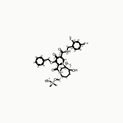 CC(C)(C)[Si](C)(C)OC[C@H]1CC[C@](C)(O)[C@H]2CN1C(=O)c1c(OCc3ccccc3)c(=O)c(C(=O)NCc3ccc(F)cc3F)cn12